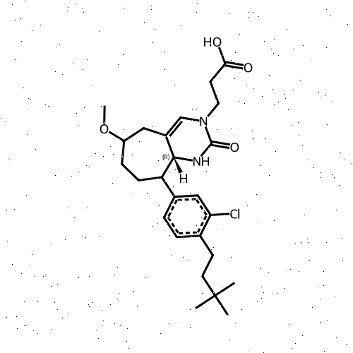 COC1CCC(c2ccc(CCC(C)(C)C)c(Cl)c2)[C@H]2NC(=O)N(CCC(=O)O)C=C2C1